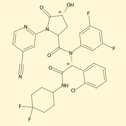 N#Cc1ccnc(N2C(=O)[C@H](O)CC2C(=O)N(c2cc(F)cc(F)c2)[C@@H](C(=O)NC2CCC(F)(F)CC2)c2ccccc2Cl)c1